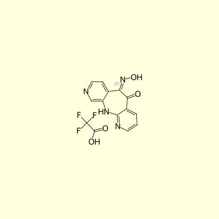 O=C(O)C(F)(F)F.O=c1/c(=N\O)c2ccncc2[nH]c2ncccc12